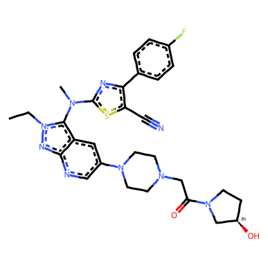 CCn1nc2ncc(N3CCN(CC(=O)N4CC[C@@H](O)C4)CC3)cc2c1N(C)c1nc(-c2ccc(F)cc2)c(C#N)s1